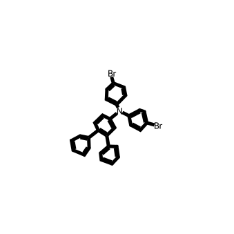 Brc1ccc(N(c2ccc(Br)cc2)c2ccc(-c3ccccc3)c(-c3ccccc3)c2)cc1